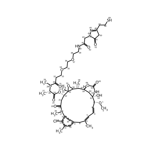 CO[C@@H]1/C=C/C=C(\C)Cc2cc(C)c(Cl)c(c2)N(C)C(=O)C[C@H](OC(=O)[C@H](C)N(C)C(=O)CCOCCOCCNC(=O)CN2N=C(CCS)CC2=O)[C@]2(C)OC2[C@H](C)[C@@H]2C[C@@]1(O)NC(=O)O2